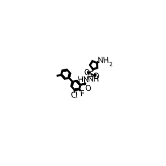 Cc1cccc(-c2cc(Cl)c(F)c(C(=O)NNS(=O)(=O)C3CCC(N)C3)c2)c1